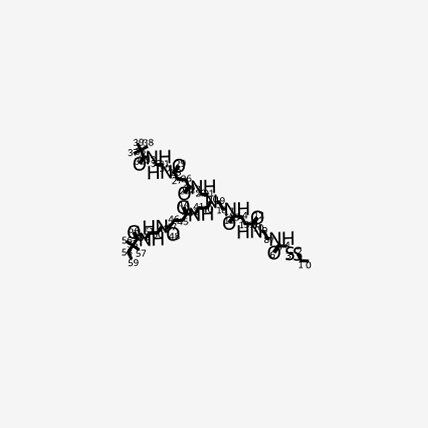 CCSSCC(=O)NCCNC(=O)CCC(=O)NCCN(CCNC(=O)CCC(=O)NCCNC(=O)C(C)(C)C)CCNC(=O)CCC(=O)NCCNC(=O)C(C)(C)CC